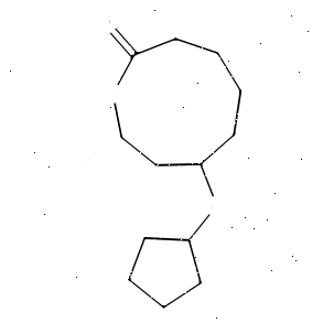 C[C@H]1CC(OC2CCCC2)CCCCC(=O)O1